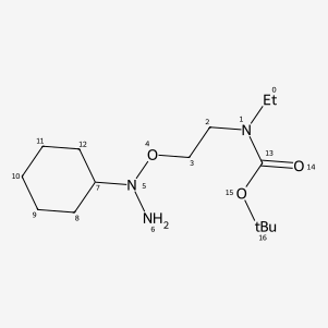 CCN(CCON(N)C1CCCCC1)C(=O)OC(C)(C)C